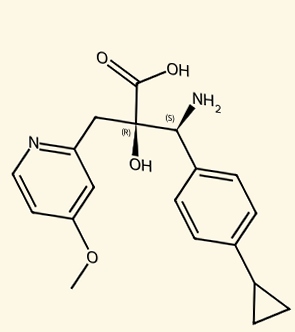 COc1ccnc(C[C@](O)(C(=O)O)[C@@H](N)c2ccc(C3CC3)cc2)c1